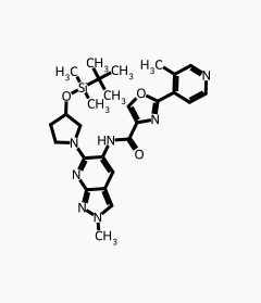 Cc1cnccc1-c1nc(C(=O)Nc2cc3cn(C)nc3nc2N2CCC(O[Si](C)(C)C(C)(C)C)C2)co1